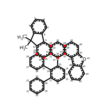 CC1(C)c2ccccc2-c2cc(N(c3cccc(-c4ccccc4)c3-c3ccccc3-c3ccccc3)c3cccc4oc5ccccc5c34)ccc21